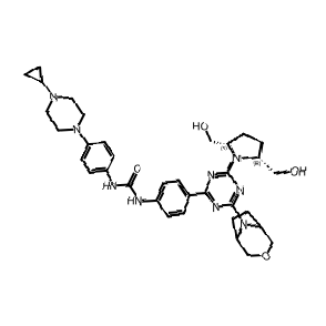 O=C(Nc1ccc(-c2nc(N3C4CCC3COC4)nc(N3[C@H](CO)CC[C@@H]3CO)n2)cc1)Nc1ccc(N2CCN(C3CC3)CC2)cc1